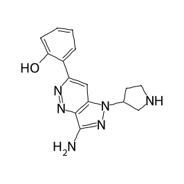 Nc1nn(C2CCNC2)c2cc(-c3ccccc3O)nnc12